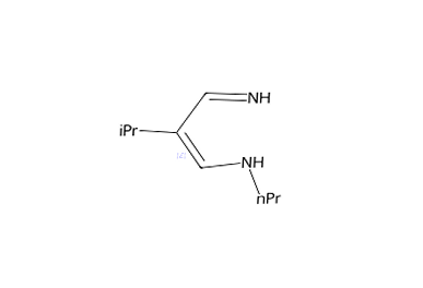 CCCN/C=C(\C=N)C(C)C